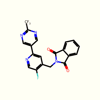 O=C1c2ccccc2C(=O)N1Cc1cc(-c2cnc(C(F)(F)F)nc2)ncc1F